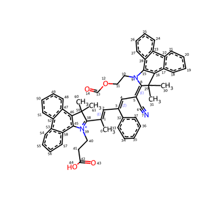 C\C(=C/C(=C/C(C#N)=C1\N(CCOC=O)c2c(c3ccccc3c3ccccc23)C1(C)C)c1ccccc1)C1=[N+](CCC(=O)O)c2c(c3ccccc3c3ccccc23)C1(C)C